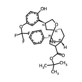 CC(C)(C)OC(=O)C1C[C@]2(c3ccccc3)N[C@@H]1CC[C@@]21C[C@@H](c2cc(OC(F)(F)F)ccc2O)CO1